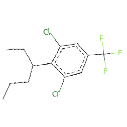 CCCC(CC)c1c(Cl)cc(C(F)(F)F)cc1Cl